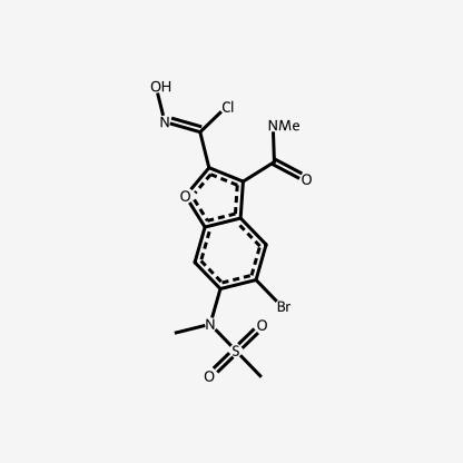 CNC(=O)c1c(C(Cl)=NO)oc2cc(N(C)S(C)(=O)=O)c(Br)cc12